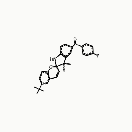 CC(C)(C)c1ccc2c(c1)C=CC1(Nc3ccc(C(=O)c4ccc(F)cc4)cc3C1(C)C)O2